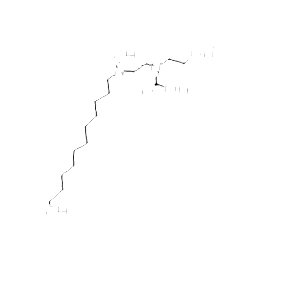 CCCCCCCCCCCCN(C)CCN(CCO)C(=O)O